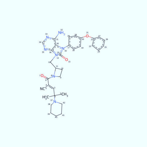 CC(C)(C=C(C#N)C(=O)N1CCC1Cn1c(=O)n(-c2ccc(Oc3ccccc3)cc2)c2c(N)ncnc21)N1CCCCC1